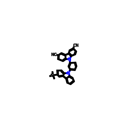 C[Si](C)(C)c1ccc2c(c1)c1ccccc1n2-c1cccc(-n2c3ccc(C#N)cc3c3cc(C#N)ccc32)c1